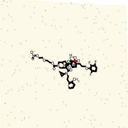 Cc1ccccc1CCN(C(=O)C1=C(c2ccc(CCCOc3c(F)ccc(F)c3F)cc2)CC2CN(C(=O)OCCOCCO[N+](=O)[O-])CC1N2C(=O)OC(C)(C)C(Cl)(Cl)Cl)C1CC1